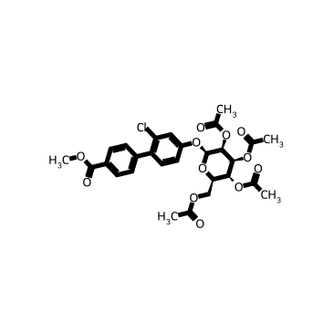 COC(=O)c1ccc(-c2ccc(O[C@@H]3O[C@H](COC(C)=O)[C@@H](OC(C)=O)[C@H](OC(C)=O)[C@@H]3OC(C)=O)cc2Cl)cc1